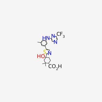 Cc1cc(Nc2cncc(C(F)(F)F)n2)cc(-c2cnc(C3(O)CCC(C(=O)O)C(C)(C)C3)s2)c1